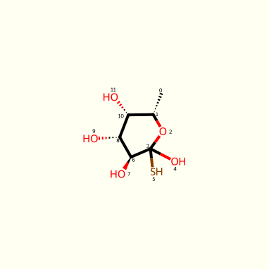 C[C@@H]1OC(O)(S)[C@@H](O)[C@H](O)[C@@H]1O